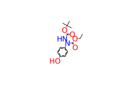 CCOC(=O)N(NC(=O)OC(C)(C)C)c1ccc(O)cc1